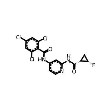 O=C(Nc1ccnc(NC(=O)[C@@H]2C[C@@H]2F)c1)c1c(Cl)cc(Cl)cc1Cl